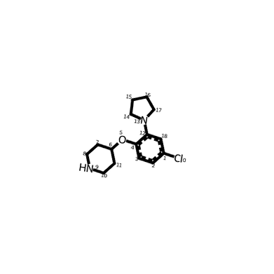 Clc1ccc(OC2CCNCC2)c(N2CCCC2)c1